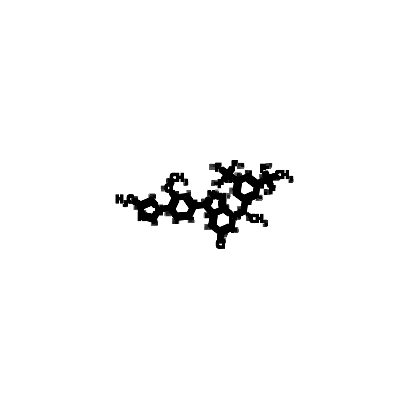 COc1cc(-c2nnc3n([C@@H](C)c4cc(C(C)(F)F)cc(C(F)(F)F)c4)cc(Cl)cc2-3)ccc1-n1cnc(C)c1